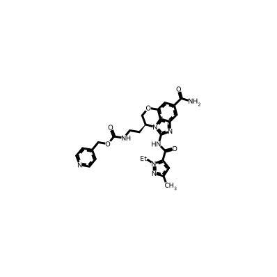 CCn1nc(C)cc1C(=O)Nc1nc2cc(C(N)=O)cc3c2n1[C@@H](CCNC(=O)OCc1ccncc1)CO3